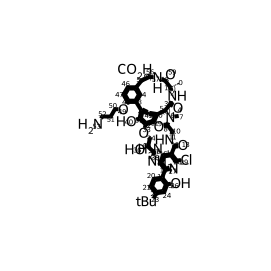 C[C@@H]1NC(=O)[C@@H](N(C)C(=O)CNC(=O)c2c(N)cc(-c3ccc(C(C)(C)C)cc3O)nc2Cl)c2cc(OC[C@H](O)CN)c(O)c(c2)-c2cc(ccc2OCCCN)C[C@@H](C(=O)O)NC1=O